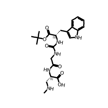 CNC[C@H](NC(=O)CNC(=O)N[C@@H](Cc1c[nH]c2ccccc12)C(=O)OC(C)(C)C)C(=O)O